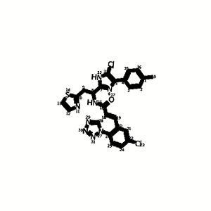 Cc1ccc(-c2nc(C(Cc3nccs3)NC(=O)/C=C/c3cc(Cl)ccc3-n3cnnn3)[nH]c2Cl)cc1